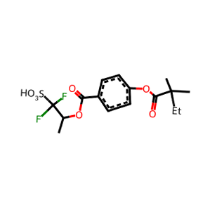 CCC(C)(C)C(=O)Oc1ccc(C(=O)OC(C)C(F)(F)S(=O)(=O)O)cc1